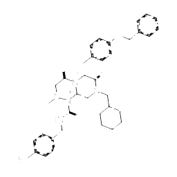 CN1CC(=O)N2[C@H](Cc3ccc(OCc4ccccc4)cc3)C(=O)N(CC3CCCCC3)C[C@H]2N1C(=O)NCc1ccc(Br)cc1